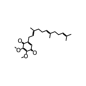 COC1=C(OC)C(=O)C(C/C=C(\C)CC/C=C(\C)CCC=C(C)C)=CC1=O